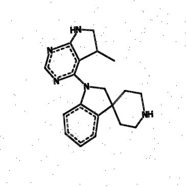 CC1CNc2ncnc(N3CC4(CCNCC4)c4ccccc43)c21